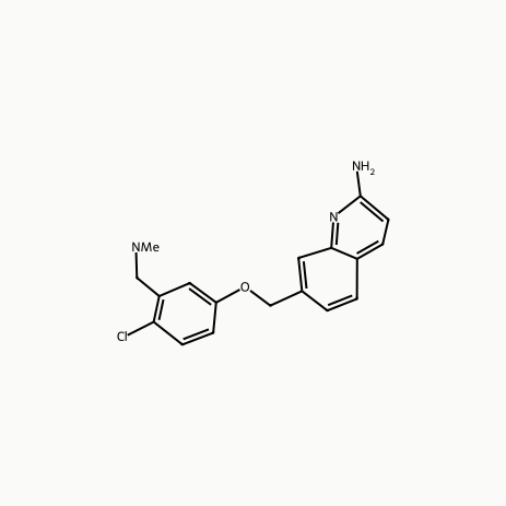 CNCc1cc(OCc2ccc3ccc(N)nc3c2)ccc1Cl